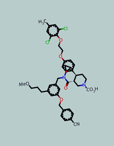 COCCCc1cc(CN(C(=O)[C@H]2CN(C(=O)O)CC[C@@H]2c2ccc(OCCOc3c(Cl)cc(C)cc3Cl)cc2)C2CC2)cc(OCc2ccc(C#N)cc2)c1